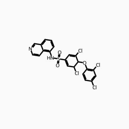 O=S(=O)(Nc1cccc2cnccc12)C1=CC(Cl)C(Oc2ccc(Cl)cc2Cl)C(Cl)=C1